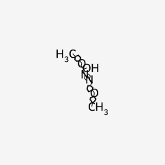 Cc1ccc(OCC(O)CN2CCN(Cc3cccc(Oc4ccc(C)cc4)c3)CC2)cc1